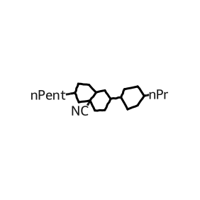 CCCCCC1CCC2CC(C3CCC(CCC)CC3)CCC2(C#N)C1